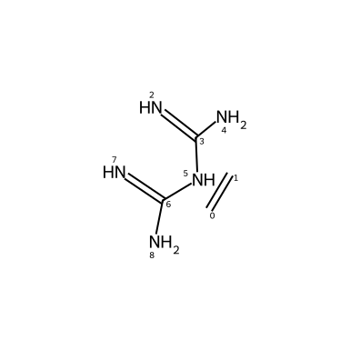 C=C.N=C(N)NC(=N)N